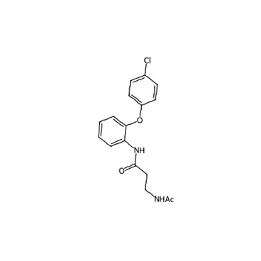 CC(=O)NCCC(=O)Nc1ccccc1Oc1ccc(Cl)cc1